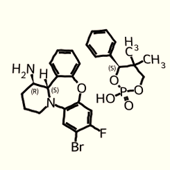 CC1(C)COP(=O)(O)O[C@H]1c1ccccc1.N[C@@H]1CCCN2c3cc(Br)c(F)cc3Oc3ccccc3[C@@H]12